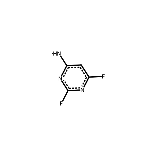 [NH]c1cc(F)nc(F)n1